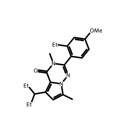 CCc1cc(OC)ccc1-c1nn2c(C)cc(C(CC)CC)c2c(=O)n1C